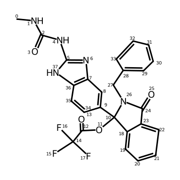 CNC(=O)Nc1nc2cc(C3(OC(=O)C(F)(F)F)c4ccccc4C(=O)N3Cc3ccccc3)ccc2[nH]1